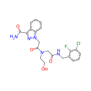 NC(=O)c1nn(CC(=O)N(CCO)CC(=O)NCc2cccc(Cl)c2F)c2ccccc12